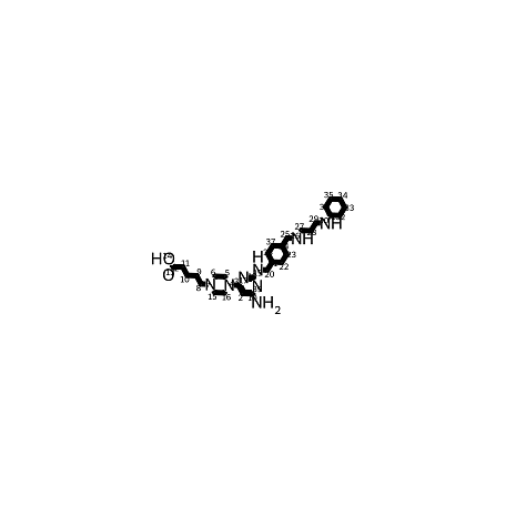 Nc1cc(N2CCN(CCCCC(=O)O)CC2)nc(NCC2CCC(CNCCCNC3CCCCC3)CC2)n1